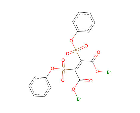 O=C(OBr)/C(=C(\C(=O)OBr)S(=O)(=O)Oc1ccccc1)S(=O)(=O)Oc1ccccc1